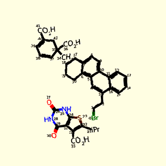 BrCCc1cc2c3c(ccc2c2ccccc12)CCCC3.CC(C)c1sc2[nH]c(=O)[nH]c(=O)c2c1C(=O)O.CC1(C(=O)O)C=CC=C(C(=O)O)C1